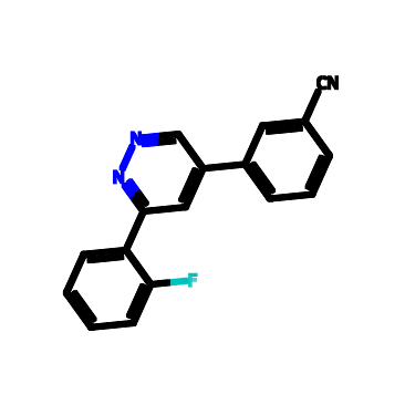 N#Cc1cccc(-c2cnnc(-c3ccccc3F)c2)c1